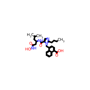 CCCCc1ncc(C(=O)NC(CC(=O)NO)CC(C)C)n1Cc1ccc(C(=O)O)c2ccccc12